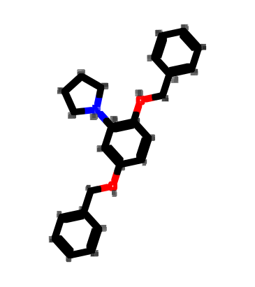 c1ccc(COc2ccc(OCc3ccccc3)c(N3CCCC3)c2)cc1